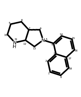 c1ccc2c(N3CC4CCCNC4C3)cccc2c1